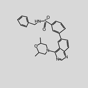 CC1CN(c2ncnc3ccc(-c4cccc(S(=O)(=O)NCc5ccccc5)c4)cc23)CC(C)O1